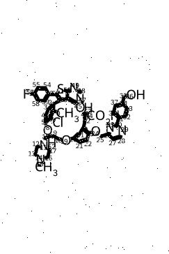 Cc1c2ccc(c1Cl)O[C@H](CN1CCN(C)CC1)COc1ccc(OCc3ccnc(-c4ccc(CO)cc4)n3)c(c1)C[C@H](C(=O)O)Oc1ncnc3sc(-c4ccc(F)cc4)c-2c13